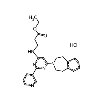 CCOC(=O)CCNc1cc(N2CCc3ccccc3CC2)nc(-c2cccnc2)n1.Cl